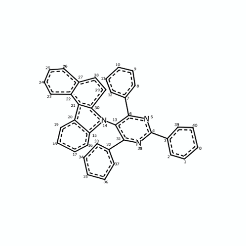 c1ccc(-c2nc(-c3ccccc3)c(-n3c4ccccc4c4c5ccccc5ccc43)c(-c3ccccc3)n2)cc1